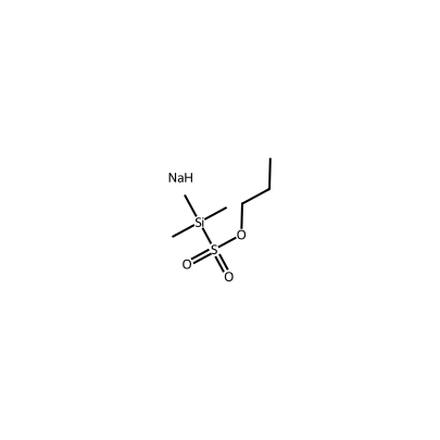 CCCOS(=O)(=O)[Si](C)(C)C.[NaH]